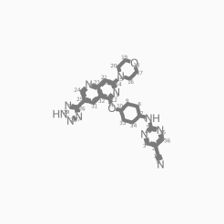 N#Cc1cnc(NC2CCC(Oc3nc(N4CCOCC4)cc4ncc(-c5nn[nH]n5)cc34)CC2)nc1